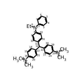 CCN(c1ccccc1)c1ccc(C(c2ccc(N(C)C)cc2)c2ccc(N(C)C)cc2)cc1